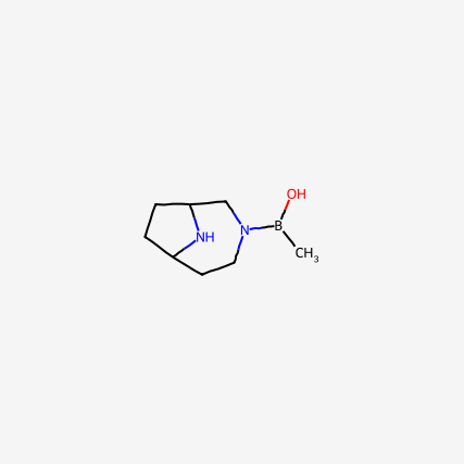 CB(O)N1CCC2CCC(C1)N2